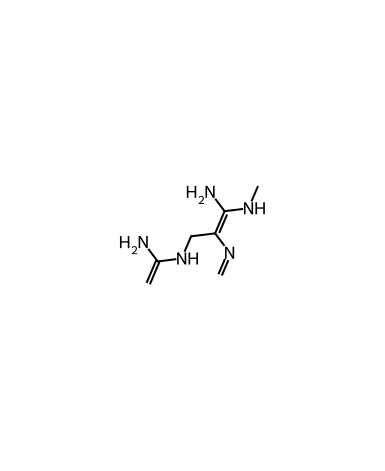 C=N/C(CNC(=C)N)=C(/N)NC